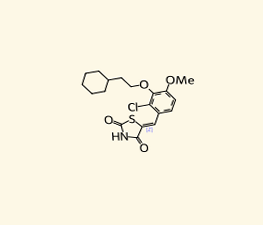 COc1ccc(/C=C2\SC(=O)NC2=O)c(Cl)c1OCCC1CCCCC1